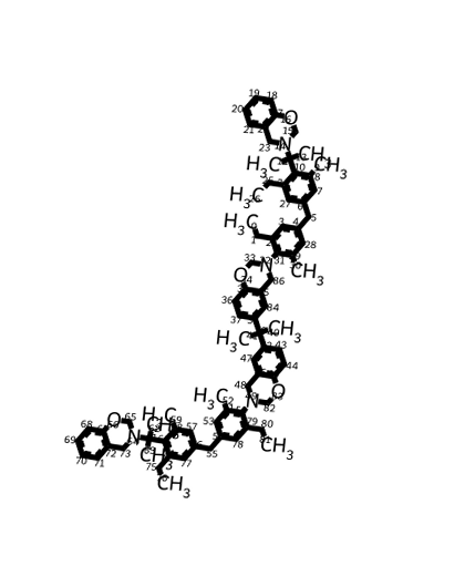 CCc1cc(Cc2cc(C)c(C(C)(C)N3COc4ccccc4C3)c(CC)c2)cc(C)c1N1COc2ccc(C(C)(C)c3ccc4c(c3)CN(c3c(C)cc(Cc5cc(C)c(C(C)(C)N6COc7ccccc7C6)c(CC)c5)cc3CC)CO4)cc2C1